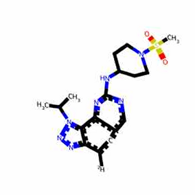 [2H]c1cc2cnc(NC3CCN(S(C)(=O)=O)CC3)nc2c2c1nnn2C(C)C